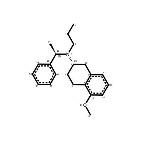 CCCN([C@H]1CCc2c(cccc2OC)C1)[C@H](C)c1ccccc1